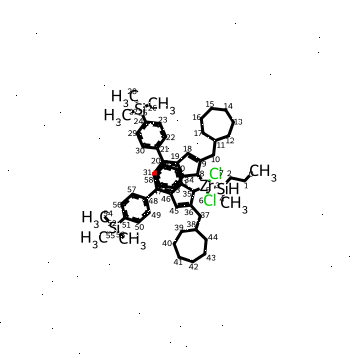 CCC[SiH](C)[Zr]([Cl])([Cl])([CH]1C(CC2CCCCCC2)=Cc2c(-c3ccc([Si](C)(C)C)cc3)cccc21)[CH]1C(CC2CCCCCC2)=Cc2c(-c3ccc([Si](C)(C)C)cc3)cccc21